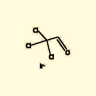 O=CC(Cl)(Cl)Cl.[Ir]